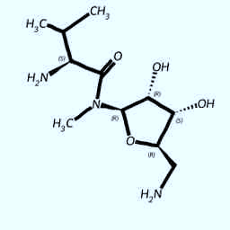 CC(C)[C@H](N)C(=O)N(C)[C@@H]1O[C@H](CN)[C@@H](O)[C@H]1O